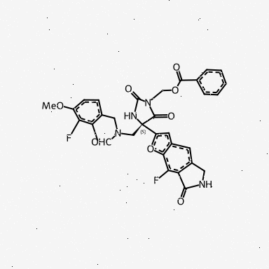 COc1ccc(CN(C=O)C[C@@]2(c3cc4cc5c(c(F)c4o3)C(=O)NC5)NC(=O)N(COC(=O)c3ccccc3)C2=O)c(C)c1F